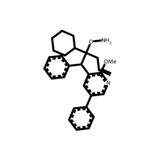 C=CCC(ON)(C1CCCCC1)C(c1ccccc1)c1cc(-c2ccccc2)cnc1OC